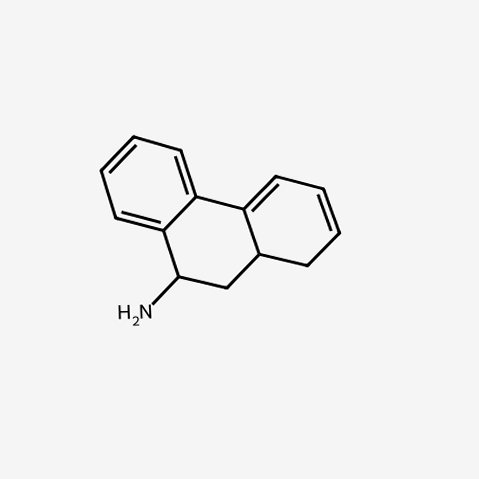 NC1CC2CC=CC=C2c2ccccc21